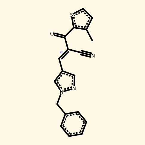 Cc1ccsc1C(=O)/C(C#N)=C/c1cnn(Cc2ccccc2)c1